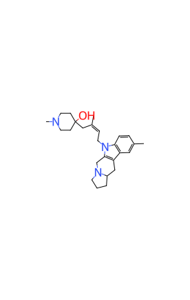 C/C(=C/Cn1c2c(c3cc(C)ccc31)CC1CCCN1C2)CC1(O)CCN(C)CC1